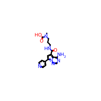 CN(CCCNC(=O)c1cc(-c2ccncc2)n2ncnc(N)c12)C(=O)O